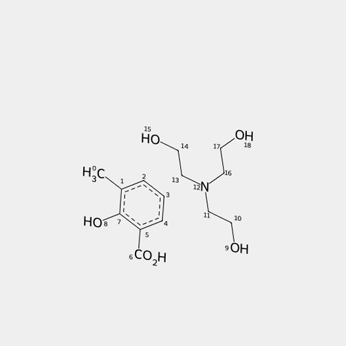 Cc1cccc(C(=O)O)c1O.OCCN(CCO)CCO